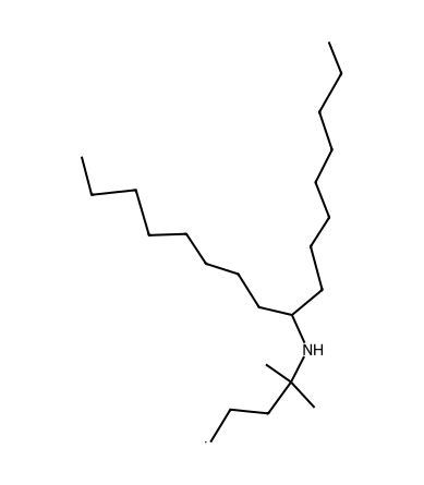 [CH2]CCC(C)(C)NC(CCCCCCCC)CCCCCCCC